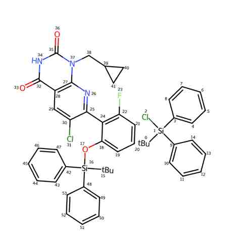 CC(C)(C)[Si](Cl)(c1ccccc1)c1ccccc1.CC(C)(C)[Si](Oc1cccc(F)c1-c1nc2c(cc1Cl)c(=O)[nH]c(=O)n2CC1CC1)(c1ccccc1)c1ccccc1